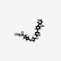 Cn1c2ccncc2c2ccc(-c3ccc(OC4CN(CC5CC6(C5)CN(C(=O)OC(C)(C)C)C6)C4)nc3)cc21